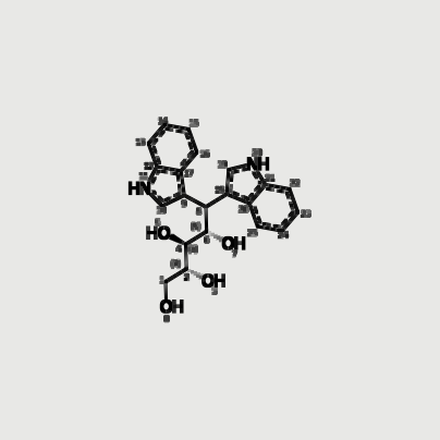 OC[C@@H](O)[C@@H](O)[C@@H](O)C(c1c[nH]c2ccccc12)c1c[nH]c2ccccc12